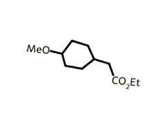 CCOC(=O)CC1CCC(OC)CC1